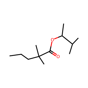 CCCC(C)(C)C(=O)OC(C)C(C)C